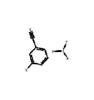 FB(F)F.N#Cc1ccc[c]([K])c1